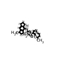 CC1CCn2ncc(S(N)(=O)=NC(=O)Nc3c4c(cc5c3CCC5C)CCC4)c2O1